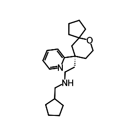 c1ccc([C@]2(CCNCC3CCCC3)CCOC3(CCCC3)C2)nc1